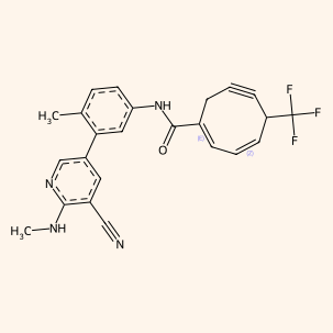 CNc1ncc(-c2cc(NC(=O)/C3=C/C=C\C(C(F)(F)F)C#CC3)ccc2C)cc1C#N